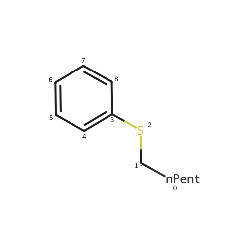 CCCCC[CH]Sc1ccccc1